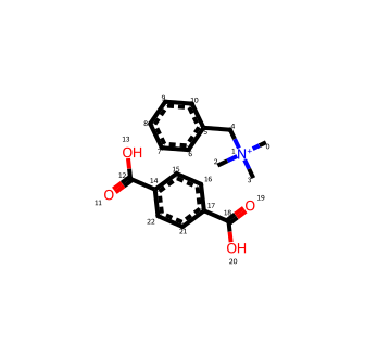 C[N+](C)(C)Cc1ccccc1.O=C(O)c1ccc(C(=O)O)cc1